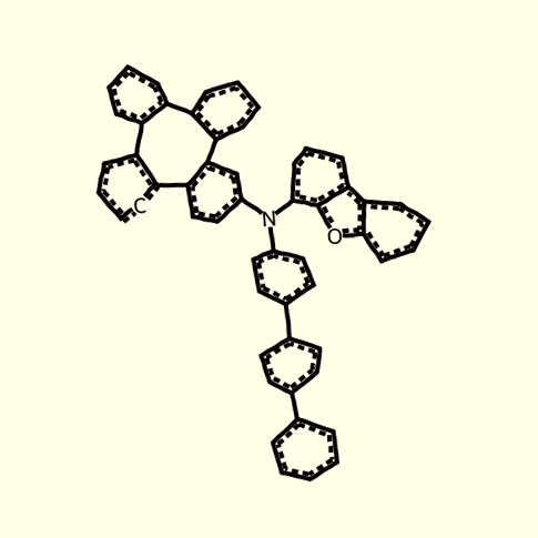 c1ccc(-c2ccc(-c3ccc(N(c4ccc5c(c4)-c4ccccc4-c4ccccc4-c4ccccc4-5)c4cccc5c4oc4ccccc45)cc3)cc2)cc1